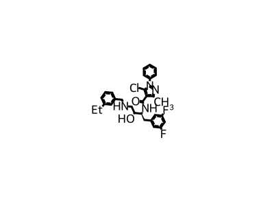 CCc1cccc(CNC[C@H](O)[C@H](Cc2cc(F)cc(F)c2)NC(=O)c2c(C)nn(-c3ccccc3)c2Cl)c1